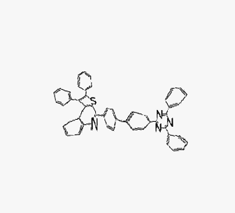 C1=CCC2C(=C1)N=C(c1ccc(-c3ccc(-c4nc(-c5ccccc5)nc(-c5ccccc5)n4)cc3)cc1)c1sc(-c3ccccc3)c(-c3ccccc3)c12